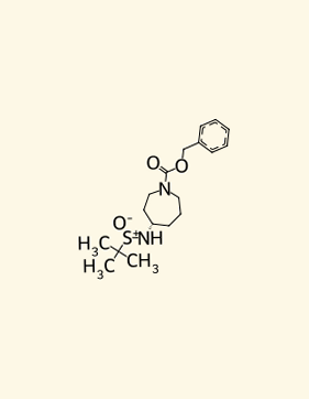 CC(C)(C)[S+]([O-])N[C@H]1CCCN(C(=O)OCc2ccccc2)CC1